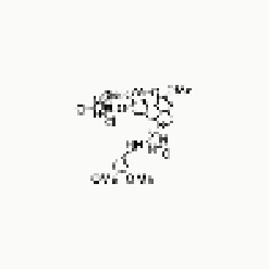 COc1ccc(CCNc2nc(Cl)nc(N3CCc4cc(OC)c(OC)cc4C3Cc3ccc(OC)c(OC)c3)n2)cc1OC.Clc1nc(Cl)nc(Cl)n1